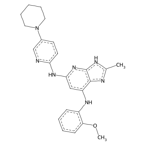 COc1ccccc1Nc1cc(Nc2ccc(N3CCCCC3)cn2)nc2[nH]c(C)nc12